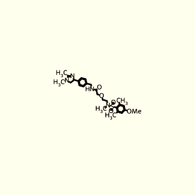 COc1cc(C)c(S(=O)(=O)N(C)CCOCC(=O)NCc2ccc(C3CN(C)C(C)=N3)cc2)c(C)c1